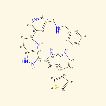 c1ccc(CNCc2cncc(-c3ccc4[nH]nc(-c5cc6c(-c7ccsc7)ccnc6[nH]5)c4n3)c2)cc1